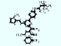 C=C(CC(C)(C)C)Nc1ccc(-c2cc(CCC3CCCN3C)nc(/C(C)=C(\CCC)C(=N)[C@H]3CCCCC3=C)n2)cn1